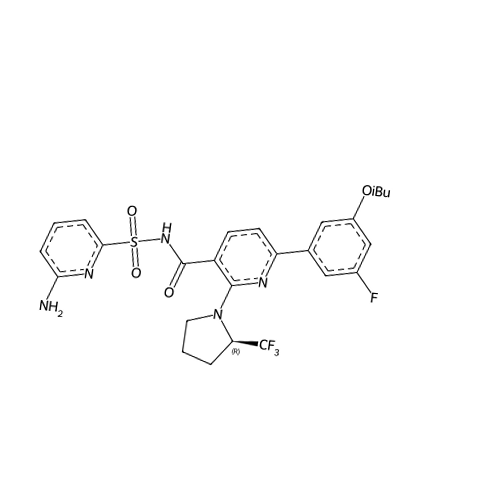 CC(C)COc1cc(F)cc(-c2ccc(C(=O)NS(=O)(=O)c3cccc(N)n3)c(N3CCC[C@@H]3C(F)(F)F)n2)c1